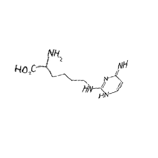 N=c1cc[nH]c(NCCCCC(N)C(=O)O)n1